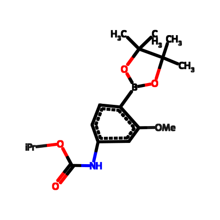 COc1cc(NC(=O)OC(C)C)ccc1B1OC(C)(C)C(C)(C)O1